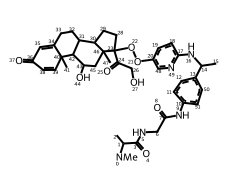 CNC(C)C(=O)NCC(=O)Nc1ccc(C(C)Nc2ccc(OOC3(C(=O)CO)CCC4C5CCC6=CC(=O)C=CC6(C)C5C(O)CC43C)cn2)cc1